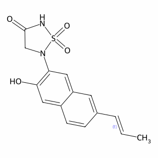 C/C=C/c1ccc2cc(O)c(N3CC(=O)NS3(=O)=O)cc2c1